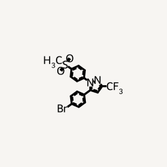 CS(=O)(=O)c1ccc(-n2nc(C(F)(F)F)cc2-c2ccc(Br)cc2)cc1